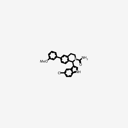 COc1cccc(-c2ccc3c(c2)CCN(C(N)=O)C3c2c[nH]c3ccc(Cl)cc23)c1